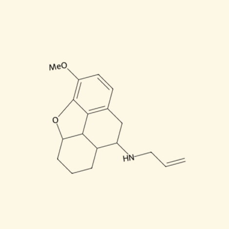 C=CCNC1Cc2ccc(OC)c3c2C2C(CCCC12)O3